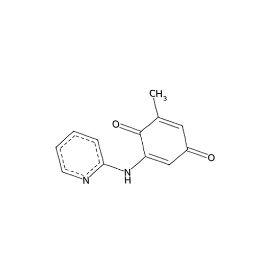 CC1=CC(=O)C=C(Nc2ccccn2)C1=O